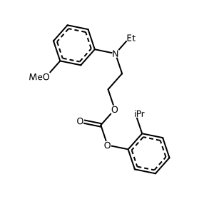 CCN(CCOC(=O)Oc1ccccc1C(C)C)c1cccc(OC)c1